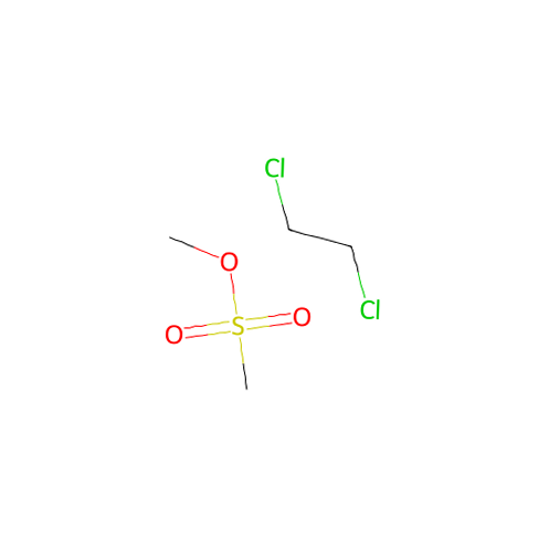 COS(C)(=O)=O.ClCCCl